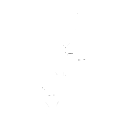 C=C(CCNC(=O)C1CN(C)c2cc(Cl)ccc2O1)c1nnc([C@H]2C[C@@H](OC(F)(F)F)C2)o1